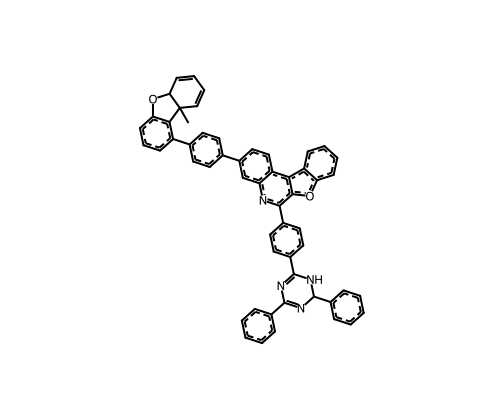 CC12C=CC=CC1Oc1cccc(-c3ccc(-c4ccc5c(c4)nc(-c4ccc(C6=NC(c7ccccc7)=NC(c7ccccc7)N6)cc4)c4oc6ccccc6c45)cc3)c12